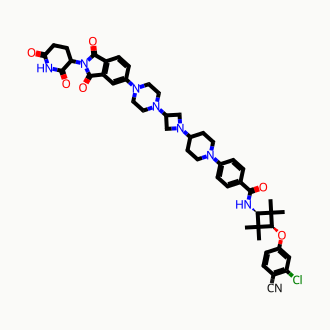 CC1(C)[C@H](NC(=O)c2ccc(N3CCC(N4CC(N5CCN(c6ccc7c(c6)C(=O)N(C6CCC(=O)NC6=O)C7=O)CC5)C4)CC3)cc2)C(C)(C)[C@H]1Oc1ccc(C#N)c(Cl)c1